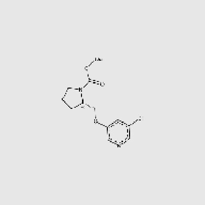 CC(C)(C)OC(=O)N1CCC[C@H]1COc1cncc(Cl)c1